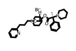 C[C@@](C(=O)O[C@H]1C[N+]2(CCCc3ccccn3)CCC1CC2)(c1ccccc1)N1CCCCC1.[Br-]